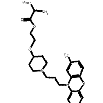 CCCCCC(C)C(=O)OCCOC1CCN(CCCN2c3ccccc3Sc3ccc(C(F)(F)F)cc32)CC1